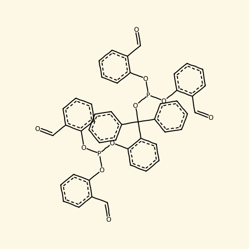 O=Cc1ccccc1OP(Oc1ccccc1C=O)Oc1ccccc1C(OP(Oc1ccccc1C=O)Oc1ccccc1C=O)(c1ccccc1)c1ccccc1